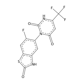 O=c1[nH]c2cc(-n3c(=O)cc(C(F)(F)F)[nH]c3=O)c(F)cc2s1